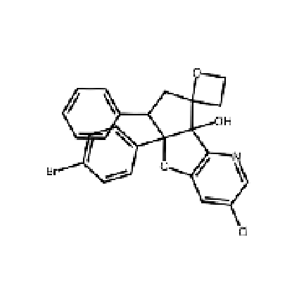 OC12c3ncc(Cl)cc3OC1(c1ccc(Br)cc1)C(c1ccccc1)CC21CCO1